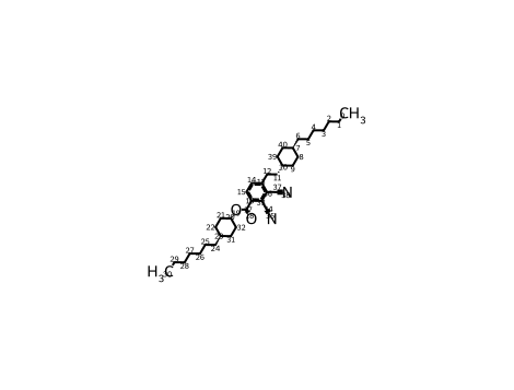 CCCCCCC[C@H]1CC[C@H](CCc2ccc(C(=O)O[C@H]3CC[C@H](CCCCCCC)CC3)c(C#N)c2C#N)CC1